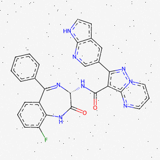 O=C(N[C@H]1N=C(c2ccccc2)c2cccc(F)c2NC1=O)c1c(-c2cnc3[nH]ccc3c2)nn2cccnc12